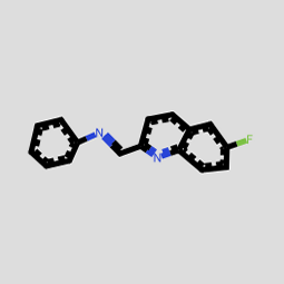 Fc1ccc2nc(C=Nc3ccccc3)ccc2c1